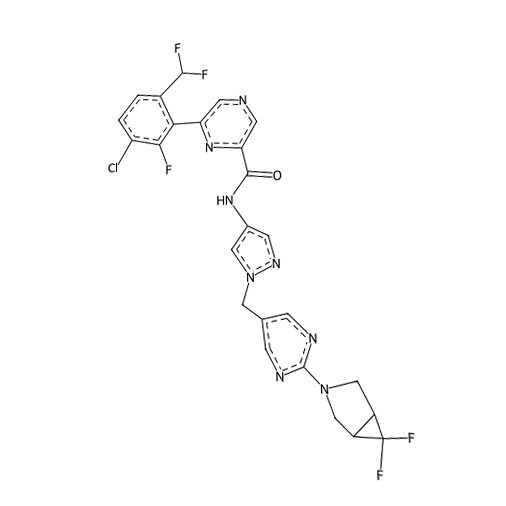 O=C(Nc1cnn(Cc2cnc(N3CC4C(C3)C4(F)F)nc2)c1)c1cncc(-c2c(C(F)F)ccc(Cl)c2F)n1